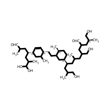 CC(C=O)CC(CC(C)C(O)O)[C@@H]1C=C[C@H](CCC2C[C@H](C(CC(C)CO)CC(C)CC(CO)CC(C=O)C[C@H](C)CO)CC[C@@H]2C)C(C)C1